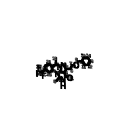 Cc1nc2c(c(CCOCc3ccccc3)nn2C(C)c2ccc(C(F)(F)F)cc2)c(=O)[nH]1